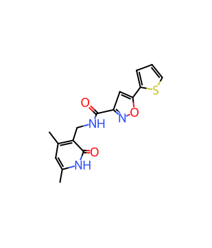 Cc1cc(C)c(CNC(=O)c2cc(-c3cccs3)on2)c(=O)[nH]1